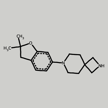 CC1(C)Cc2ccc(N3CCC4(CC3)CNC4)cc2O1